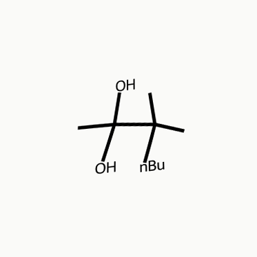 CCCCC(C)(C)C(C)(O)O